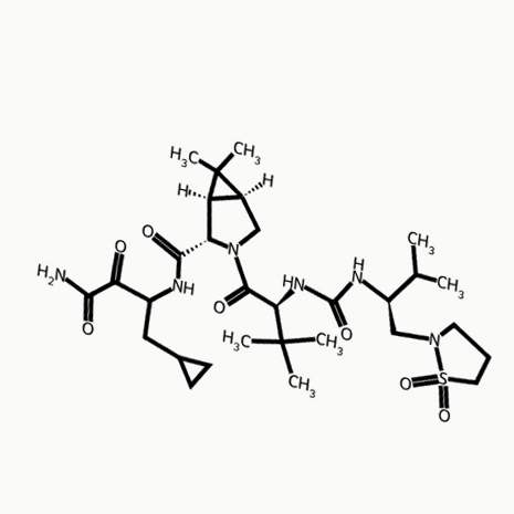 CC(C)[C@@H](CN1CCCS1(=O)=O)NC(=O)N[C@H](C(=O)N1C[C@H]2[C@@H]([C@H]1C(=O)NC(CC1CC1)C(=O)C(N)=O)C2(C)C)C(C)(C)C